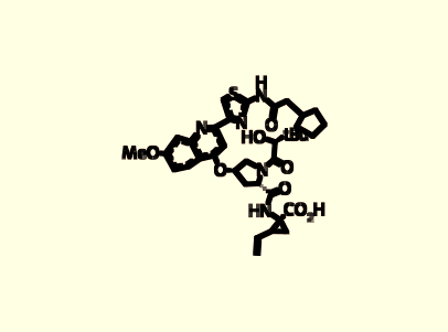 C=CC1C[C@]1(NC(=O)[C@@H]1C[C@@H](Oc2cc(-c3csc(NC(=O)CC4CCCC4)n3)nc3cc(OC)ccc23)CN1C(=O)[C@@H](O)C(C)(C)C)C(=O)O